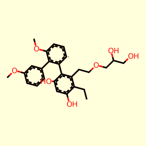 CCc1c(O)cc(O)c(-c2[c]ccc(OC)c2-c2cccc(OC)c2)c1CCOCC(O)CO